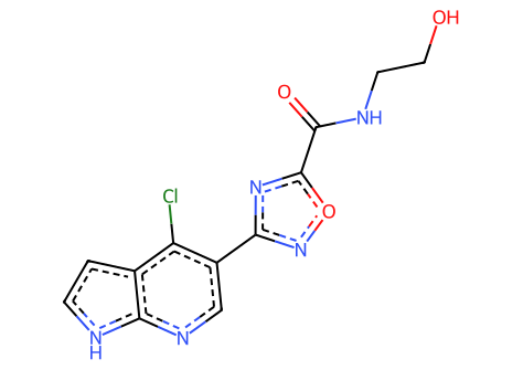 O=C(NCCO)c1nc(-c2cnc3[nH]ccc3c2Cl)no1